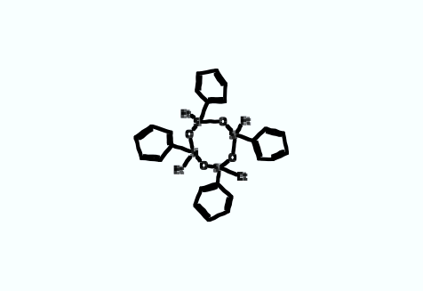 CC[Si]1(c2ccccc2)O[Si](CC)(c2ccccc2)O[Si](CC)(c2ccccc2)O[Si](CC)(c2ccccc2)O1